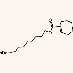 CCCCCCCCCCCCCCCCCCOC(=O)C1=CCCCCC1